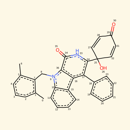 Cc1cccc(C)c1Cn1c2ccccc2c2c(-c3ccccc3)c(C3(O)C=CC(=O)C=C3)[nH]c(=O)c21